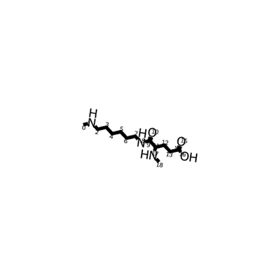 CNCCCCCCNC(=O)C(CCC(=O)O)NC